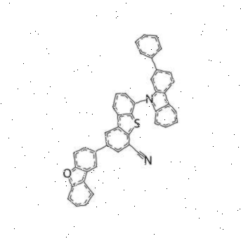 N#Cc1cc(-c2ccc3oc4ccccc4c3c2)cc2c1sc1c(-n3c4ccccc4c4ccc(-c5ccccc5)cc43)cccc12